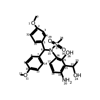 COc1ccc(C(c2ccc(OC)cc2)N(c2ccc(N)c(C(C)O)c2O)S(C)(=O)=O)cc1